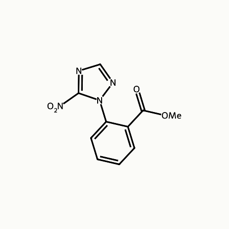 COC(=O)c1ccccc1-n1ncnc1[N+](=O)[O-]